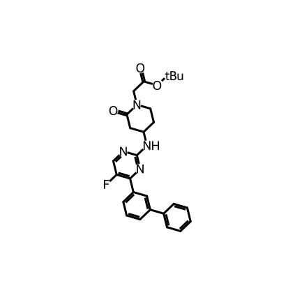 CC(C)(C)OC(=O)CN1CCC(Nc2ncc(F)c(-c3cccc(-c4ccccc4)c3)n2)CC1=O